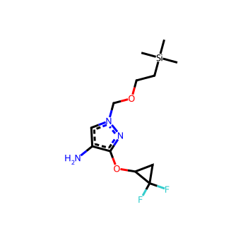 C[Si](C)(C)CCOCn1cc(N)c(OC2CC2(F)F)n1